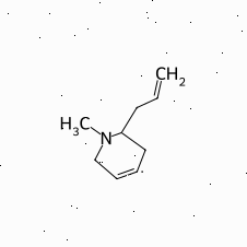 C=CCC1C[C]=CCN1C